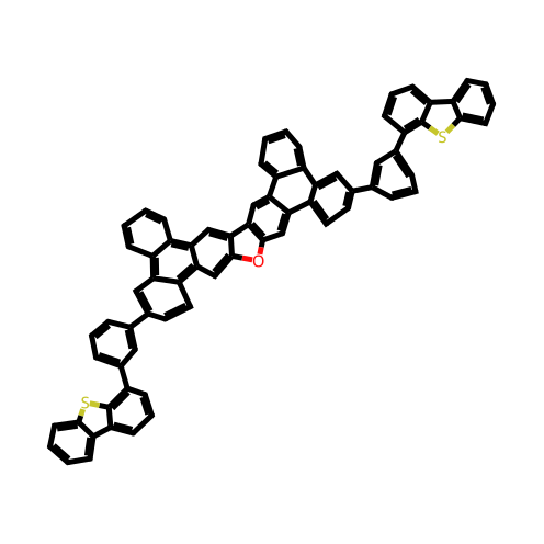 c1cc(-c2ccc3c(c2)c2ccccc2c2cc4c(cc32)oc2cc3c5ccc(-c6cccc(-c7cccc8c7sc7ccccc78)c6)cc5c5ccccc5c3cc24)cc(-c2cccc3c2sc2ccccc23)c1